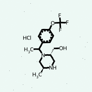 CC(c1ccc(OC(F)(F)F)cc1)N1C[C@H](C)NC[C@H]1CO.Cl